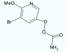 COc1ncc(OOC(N)=O)cc1Br